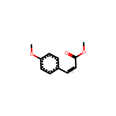 COC(=O)/C=C\c1ccc(OC)cc1